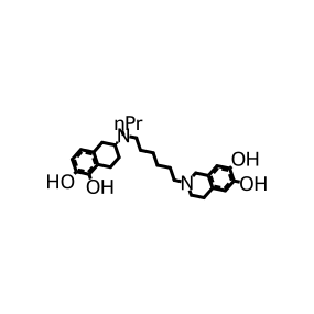 CCCN(CCCCCCN1CCc2cc(O)c(O)cc2C1)[C@H]1CCc2c(ccc(O)c2O)C1